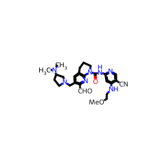 COCCNc1cc(NC(=O)N2CCCc3cc(CN4CCC(N(C)C)C4)c(C=O)nc32)ncc1C#N